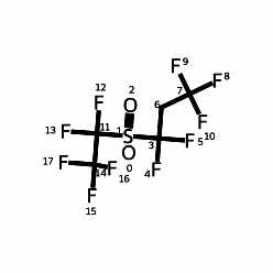 O=S(=O)(C(F)(F)CC(F)(F)F)C(F)(F)C(F)(F)F